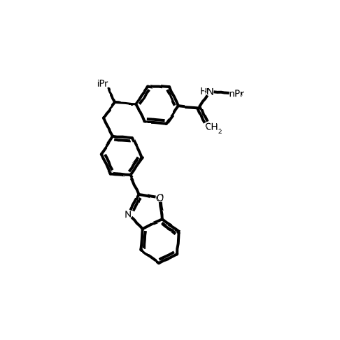 C=C(NCCC)c1ccc(C(Cc2ccc(-c3nc4ccccc4o3)cc2)C(C)C)cc1